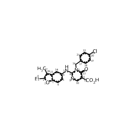 CCc1oc2ccc(Nc3ncc(C(=O)O)c(=O)n3Cc3ccc(Cl)cc3)cc2c1C